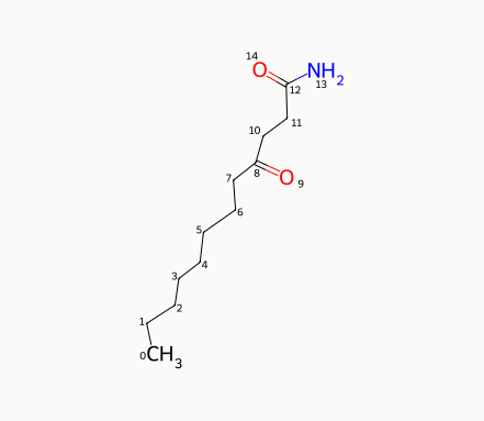 CCCCCCCCC(=O)CCC(N)=O